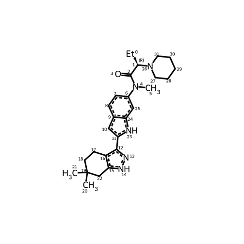 CC[C@H](C(=O)N(C)c1ccc2cc(-c3n[nH]c4c3CCC(C)(C)C4)[nH]c2c1)N1CCCCC1